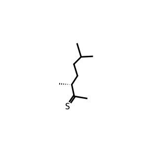 CC(=S)[C@H](C)CCC(C)C